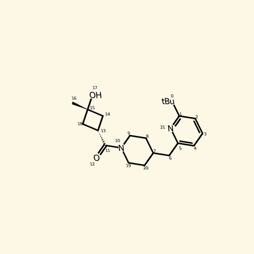 CC(C)(C)c1cccc(CC2CCN(C(=O)[C@H]3C[C@@](C)(O)C3)CC2)n1